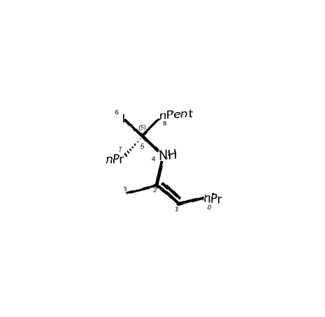 CCCC=C(C)N[C@](I)(CCC)CCCCC